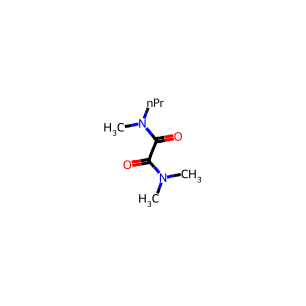 CCCN(C)C(=O)C(=O)N(C)C